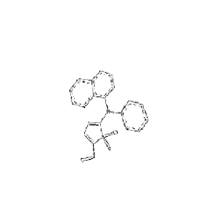 O=CC1=CC=C(N(c2ccccc2)c2cccc3ccccc23)S1(=O)=O